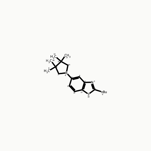 CCCCc1nc2cc(B3CC(C)(C)C(C)(C)C3)ccc2s1